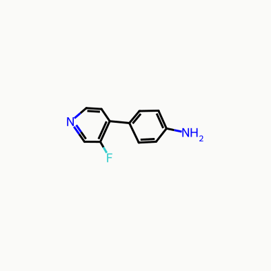 Nc1ccc(-c2ccncc2F)cc1